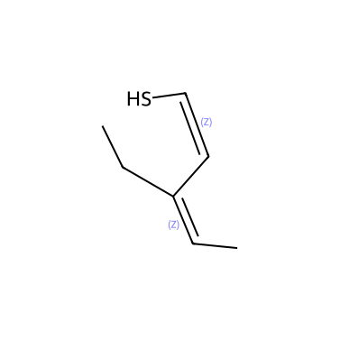 C/C=C(\C=C/S)CC